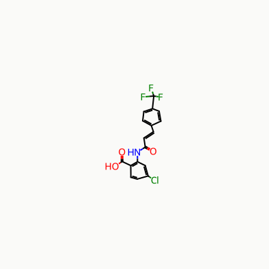 O=C(/C=C/c1ccc(C(F)(F)F)cc1)Nc1cc(Cl)ccc1C(=O)O